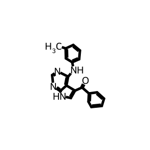 Cc1cccc(Nc2ncnc3[nH]cc(C(=O)c4ccccc4)c23)c1